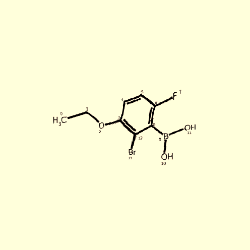 CCOc1ccc(F)c(B(O)O)c1Br